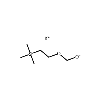 C[Si](C)(C)CCOC[O-].[K+]